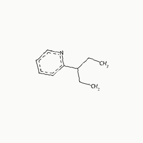 CCC(CC)c1ccccn1